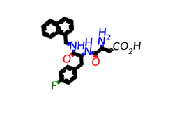 NC(CC(=O)O)C(=O)NC(Cc1ccc(F)cc1)C(=O)NCc1cccc2ccccc12